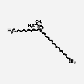 CCCCCCCCCCCCCCCCCN1C=CN(C(C)C)C1CCCCCCCCCC